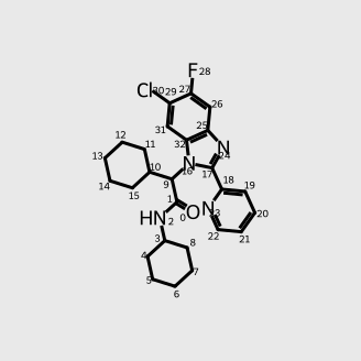 O=C(NC1CCCCC1)C(C1CCCCC1)n1c(-c2ccccn2)nc2cc(F)c(Cl)cc21